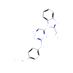 CCc1nc2ccccc2n1-c1cnnc(Nc2ccc(OC)cc2)n1